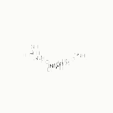 CCC(=O)N[C@@H](Cc1ccc(OCCNC(=O)CCC(C)(C)OCCN)cc1)C(O)NC(C)(C)COCCC(=O)NCCOCCC(N)=O